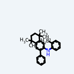 Bc1ccccc1Nc1cc2c(cc1-c1ccccc1)C(C)(C)CCC2(C)C